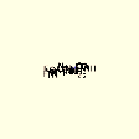 N/C(=C\N(N)Cc1ncc(-c2nnc(C(F)F)o2)cc1F)c1ccc2c(c1)CNCC2